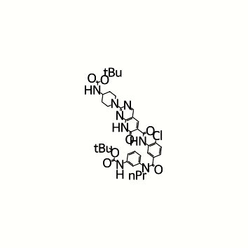 CCCN(C(=O)c1ccc(Cl)c(NC(=O)c2cc3cnc(N4CCC(NC(=O)OC(C)(C)C)CC4)nc3[nH]c2=O)c1)c1cccc(NC(=O)OC(C)(C)C)c1